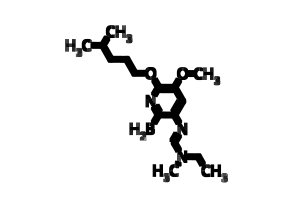 Bc1nc(OCCCC(C)C)c(OC)cc1/N=C/N(C)CC